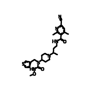 CONC(=O)N(Cc1ccsc1)C1CCN(C(C)CCNC(=O)c2c(C)cc(C#N)nc2C)CC1